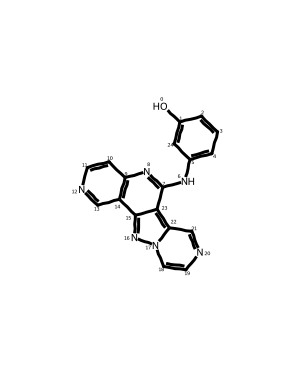 Oc1cccc(Nc2nc3ccncc3c3nn4ccncc4c23)c1